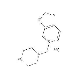 Cl.c1cc2c(cc1CN1CCNCC1)OCO2